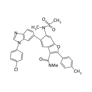 CNC(=O)c1c(-c2ccc(C)cc2)oc2cc(N(C)S(C)(=O)=O)c(-c3ccc4ncn(-c5ccc(Cl)cc5)c4c3)cc12